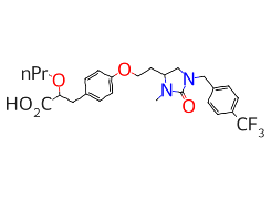 CCCOC(Cc1ccc(OCCC2CN(Cc3ccc(C(F)(F)F)cc3)C(=O)N2C)cc1)C(=O)O